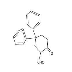 O=CC1CC(c2ccccc2)(c2ccccc2)CCC1=O